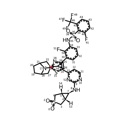 O=S1(=O)C[C@@H]2[C@H](C1)[C@H]2Nc1nccc(-c2sc(N3C4CCC3CN(C3CC3)C4)nc2-c2cccc(NS(=O)(=O)c3c(F)cccc3C(F)(F)F)c2F)n1